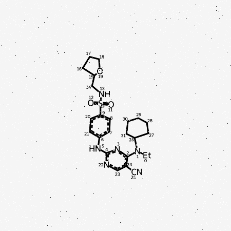 CCN(c1nc(Nc2ccc(S(=O)(=O)NCC3CCCO3)cc2)ncc1C#N)C1CCCCC1